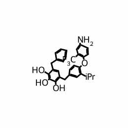 CC(C)c1cc(Cc2cc(Cc3ccccc3)c(O)c(O)c2O)ccc1Oc1ccc(N)cc1C(F)(F)F